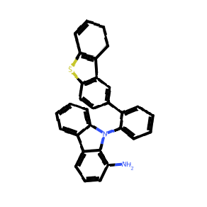 Nc1cccc2c3ccccc3n(-c3ccccc3-c3ccc4sc5c(c4c3)CCC=C5)c12